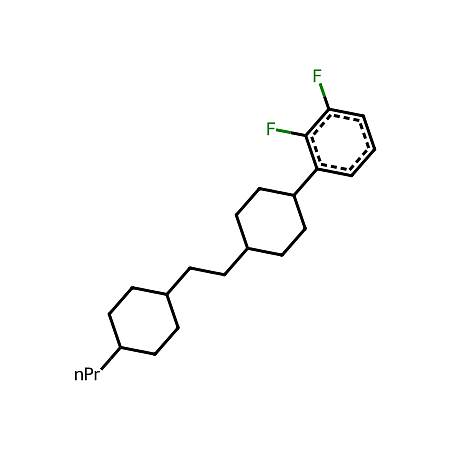 CCCC1CCC(CCC2CCC(c3cccc(F)c3F)CC2)CC1